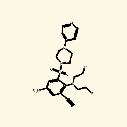 C#Cc1cc([N+](=O)[O-])cc(S(=O)(=O)N2CCN(c3ccncc3)CC2)c1N(CCBr)CCBr